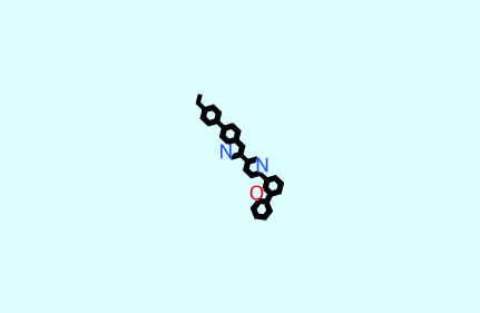 CCc1ccc(-c2ccc3cc(-c4ccc(-c5cccc6c5oc5ccccc56)nc4)cnc3c2)cc1